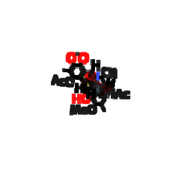 COc1c(C)cc2c(c1O)[C@H]1N[C@H](C2)[C@H](C#N)N2[C@H]1[C@@H]1SCC(NC(C)=O)C(=O)OC[C@H]2c2c3c(c(C)c(OC(C)=O)c21)OCO3